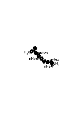 CCCCCCOc1cc(-c2ccc(-c3nnc(-c4ccc(-c5cc(OCCCCCC)c(-c6ccc(N(c7ccccc7)c7ccc(C)cc7)cc6)cc5OCCCCCC)cc4)o3)cc2)c(OCCCCCC)cc1C